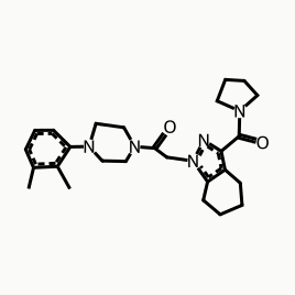 Cc1cccc(N2CCN(C(=O)Cn3nc(C(=O)N4CCCC4)c4c3CCCC4)CC2)c1C